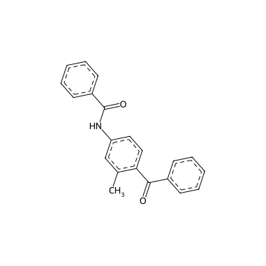 Cc1cc(NC(=O)c2ccccc2)ccc1C(=O)c1ccccc1